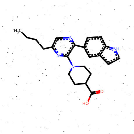 CCCCc1cnc(-c2ccc3[nH]ccc3c2)c(N2CCC(C(=O)O)CC2)n1